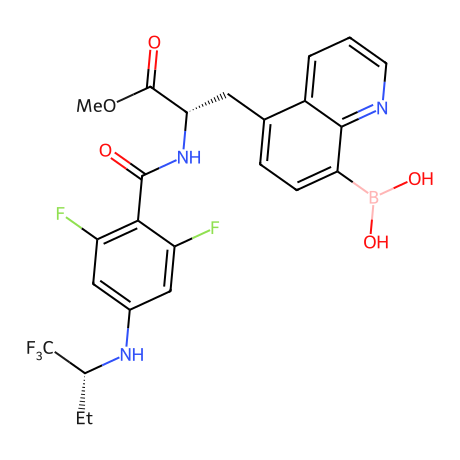 CC[C@@H](Nc1cc(F)c(C(=O)N[C@@H](Cc2ccc(B(O)O)c3ncccc23)C(=O)OC)c(F)c1)C(F)(F)F